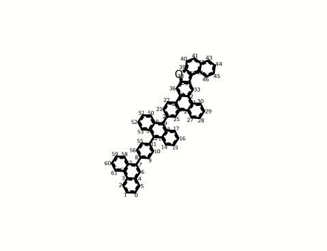 c1ccc2c(c1)cc(-c1ccc(-c3c4ccccc4c(-c4ccc5c(c4)c4ccccc4c4cc6c(cc54)oc4ccc5ccccc5c46)c4ccccc34)cc1)c1ccccc12